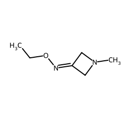 CCON=C1CN(C)C1